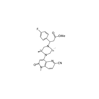 COC(=O)CC(c1ccc(F)cc1)N1C[C@H](C)N(c2cc(=O)n(C)c3ccc(C#N)nc23)C[C@H]1C